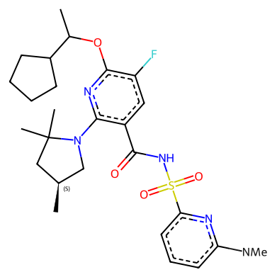 CNc1cccc(S(=O)(=O)NC(=O)c2cc(F)c(OC(C)C3CCCC3)nc2N2C[C@@H](C)CC2(C)C)n1